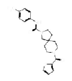 O=C(Nc1ccc(C(F)(F)F)cc1)N1CCC2(CCN(C(=O)c3cccs3)CC2)C1